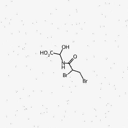 O=C(NC(O)C(=O)O)C(Br)CBr